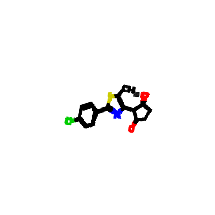 Cc1sc(-c2ccc(Cl)cc2)nc1C1C(=O)CCC1=O